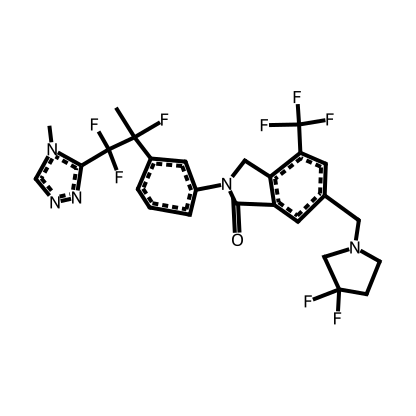 Cn1cnnc1C(F)(F)C(C)(F)c1cccc(N2Cc3c(cc(CN4CCC(F)(F)C4)cc3C(F)(F)F)C2=O)c1